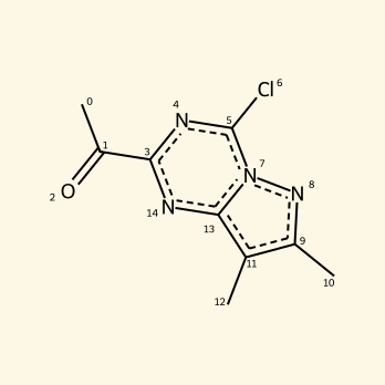 CC(=O)c1nc(Cl)n2nc(C)c(C)c2n1